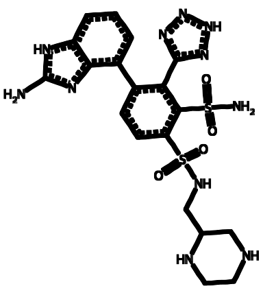 Nc1nc2c(-c3ccc(S(=O)(=O)NCC4CNCCN4)c(S(N)(=O)=O)c3-c3nn[nH]n3)cccc2[nH]1